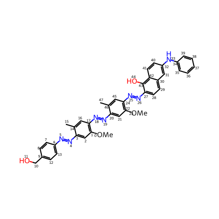 COc1cc(N=Nc2ccc(CO)cc2)c(C)cc1N=Nc1cc(OC)c(N=Nc2ccc3cc(Nc4ccccc4)ccc3c2O)cc1C